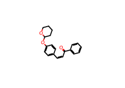 O=C(/C=C\c1ccc(OC2CCCCO2)cc1)c1ccccc1